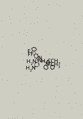 CC(C)(C)[Si](OCCCn1nc2cc(-c3ccccc3C(F)(F)F)ccc2c1C1(N)C=CC=C(N)C1)(c1ccccc1)c1ccccc1